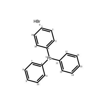 Br.c1cc[c]([Pb]([c]2ccccc2)[c]2ccccc2)cc1